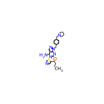 CCCC(Oc1nc(N)c2cnn(Cc3ccc(CN4CCCC4)cc3)c2n1)c1cncs1